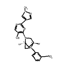 Cn1cc(-c2ncc(C#N)c(N3C[C@H]4C[C@H]3CN4c3cccc([N+](=O)[O-])c3)n2)cn1